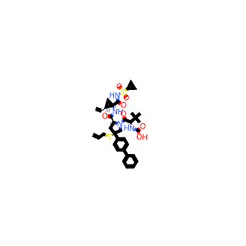 C=CCS[C@@]1(c2ccc(-c3ccccc3)cc2)C[C@@H](C(=O)N[C@]2(C(=O)NS(=O)(=O)C3CC3)C[C@H]2C=C)N(C(=O)[C@@H](NC(=O)O)C(C)(C)C)C1